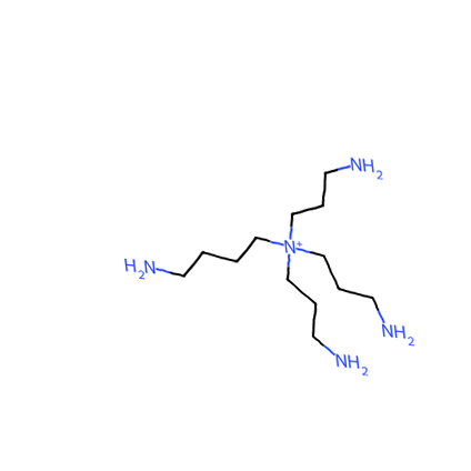 NCCCC[N+](CCCN)(CCCN)CCCN